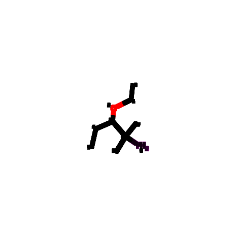 CCOC(CC)C(C)(C)P